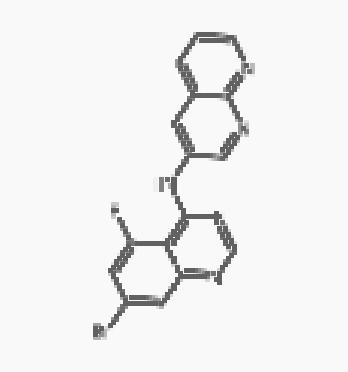 Fc1cc(Br)cc2ncnc(Nc3cnc4ncccc4c3)c12